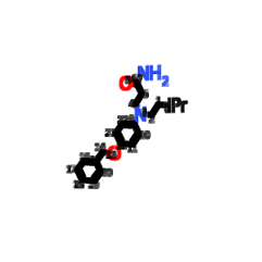 CC(C)CCN(CCC(N)=O)c1ccc(OCc2ccccc2)cc1